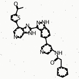 CC(=O)c1ccc(-c2cncc3[nH]c(-c4n[nH]c5ccc(-c6cncc(NC(=O)Cc7ccccc7)c6)cc45)nc23)s1